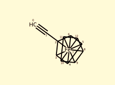 C#C[C]12[CH]3[CH]4[CH]5[CH]1[Fe]45321678[CH]2[CH]1[CH]6[CH]7[CH]28